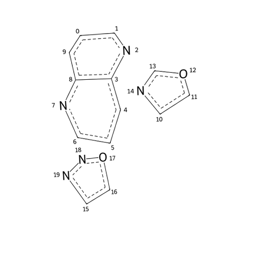 c1cnc2cccnc2c1.c1cocn1.c1conn1